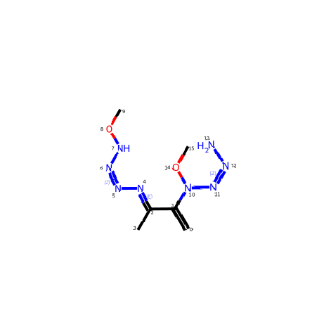 C=C(/C(C)=N/N=N\NOC)N(/N=N\N)OC